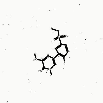 CCS(=O)(=O)c1ccc(F)c(-c2cc(OC)c(=O)n(C)c2)c1